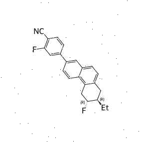 CC[C@@H]1Cc2ccc3cc(-c4ccc(C#N)c(F)c4)ccc3c2C[C@H]1F